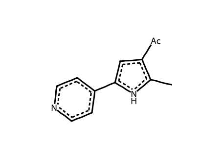 CC(=O)c1cc(-c2ccncc2)[nH]c1C